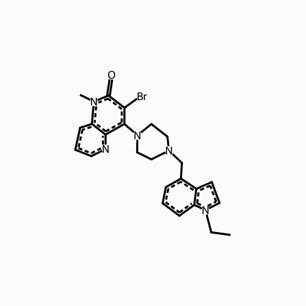 CCn1ccc2c(CN3CCN(c4c(Br)c(=O)n(C)c5cccnc45)CC3)cccc21